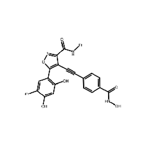 CCNC(=O)c1noc(-c2cc(C(C)C)c(O)cc2O)c1C#Cc1ccc(C(=O)NO)cc1